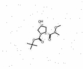 CON(C)C(=O)[C@H]1C[C@@H](O)CN1C(=O)OC(C)(C)C